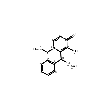 O=C(O)Cn1ccc(=O)c(O)c1C(O)c1ccccc1.[NaH]